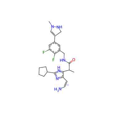 CC(C(=O)NCc1cc(C2=CN(C)NC2)cc(F)c1F)c1[nH]c(C2CCCC2)nc1/C=C\N